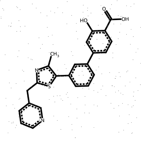 Cc1nc(Cc2cccnc2)sc1-c1cccc(-c2ccc(C(=O)O)c(O)c2)c1